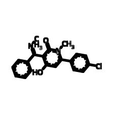 CN=C(c1ccccc1)c1c(O)cc(-c2ccc(Cl)cc2)n(C)c1=O